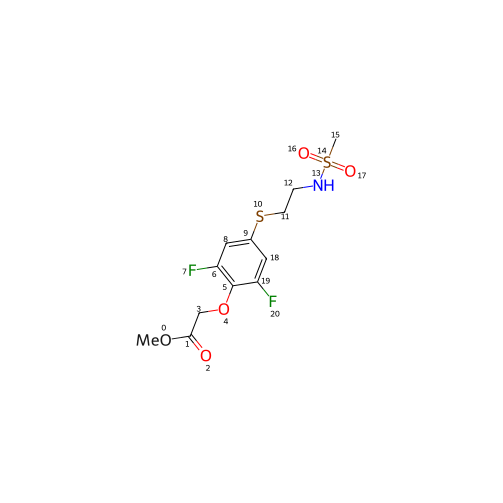 COC(=O)COc1c(F)cc(SCCNS(C)(=O)=O)cc1F